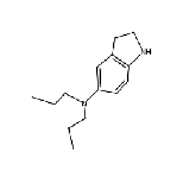 CCCN(CCC)c1ccc2c(c1)CCN2